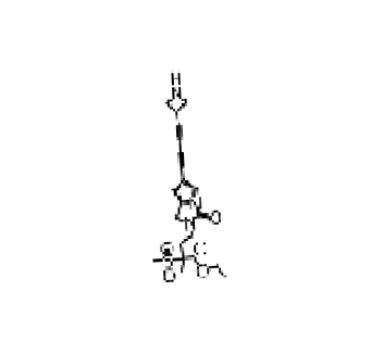 CCOC(=O)C(C)(CCN1Cc2cc(C#CC#CC3CNC3)cn2C1=O)S(C)(=O)=O